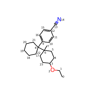 CCOC1CCC(C)(C2(c3ccc(C#N)cc3)CCCCC2)CC1